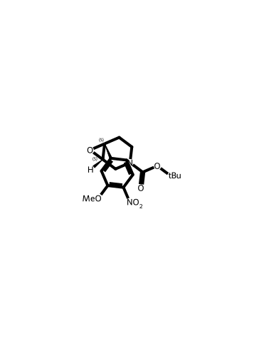 COc1cc([C@@]23CCN(C(=O)OC(C)(C)C)C[C@@H]2O3)ccc1[N+](=O)[O-]